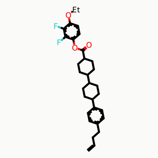 C=CCCc1ccc(C2CCC(C3CCC(C(=O)Oc4ccc(OCC)c(F)c4F)CC3)CC2)cc1